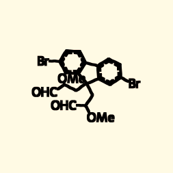 COC(C=O)CC1(CC(C=O)OC)c2cc(Br)ccc2-c2ccc(Br)cc21